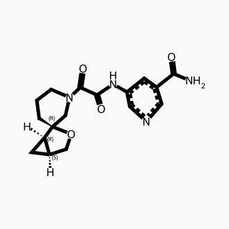 NC(=O)c1cncc(NC(=O)C(=O)N2CCC[C@@]3(C2)OC[C@H]2C[C@H]23)c1